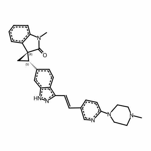 CN1CCN(c2ccc(C=Cc3n[nH]c4cc([C@@H]5C[C@@]56C(=O)N(C)c5ccccc56)ccc34)cn2)CC1